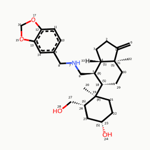 C=C1CC[C@H]2[C@H](CNCc3ccc4c(c3)OCO4)[C@@H]([C@@]3(C)CC[C@H](O)C[C@@H]3CO)CC[C@]12C